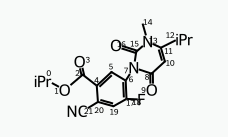 CC(C)OC(=O)c1cc(-n2c(=O)cc(C(C)C)n(C)c2=O)c(F)cc1C#N